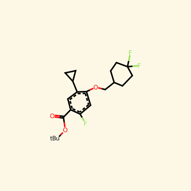 CC(C)(C)OC(=O)c1cc(C2CC2)c(OCC2CCC(F)(F)CC2)cc1F